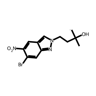 [CH2]C(C)(O)CCn1cc2cc([N+](=O)[O-])c(Br)cc2n1